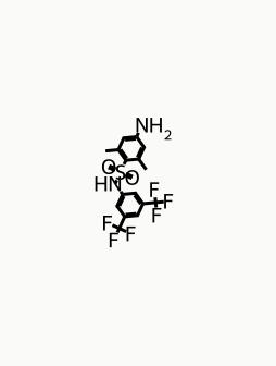 Cc1cc(N)cc(C)c1S(=O)(=O)Nc1cc(C(F)(F)F)cc(C(F)(F)F)c1